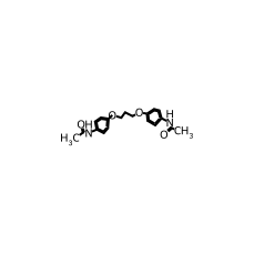 CC(=O)Nc1ccc(OCCCOc2ccc(NC(C)=O)cc2)cc1